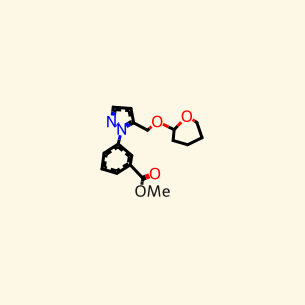 COC(=O)c1cccc(-n2nccc2COC2CCCCO2)c1